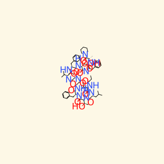 CCC(=O)N[C@H](C(=O)N(C)[C@@H](CC(C)C)C(=O)N[C@H](C(=O)N(C)[C@@H](Cc1ccccc1)C(=O)NCC(=O)N(C)[C@@H](CC(C)C)C(=O)N(C)[C@H](C(=O)N[C@@H](Cc1ccccc1)C(=O)N[C@@H](CC(=O)O)C(=O)N(C)C(Cc1ccccc1)C(=O)N[C@@H](C)C(=O)N1CCCCC1)C(C)C)[C@@H](C)O)C(C)C